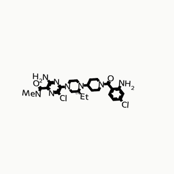 CC[C@H]1CN(c2nc(N)c(C(=O)NC)nc2Cl)CCN1C1CCN(C(=O)c2ccc(Cl)cc2N)CC1